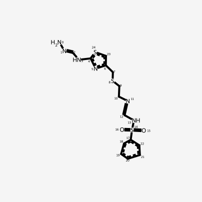 NN=CNc1nc(CSCCN=CNS(=O)(=O)c2ccccc2)cs1